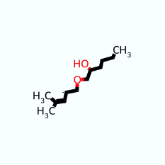 CCCCC(O)COC[CH]C=C(C)C